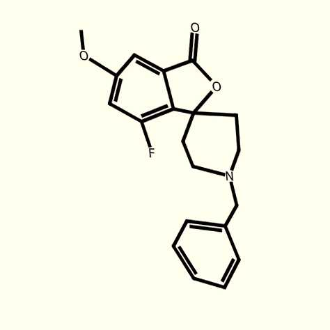 COc1cc(F)c2c(c1)C(=O)OC21CCN(Cc2ccccc2)CC1